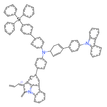 C=C/C=c1\c(=C)n2c3ccccc3c3cc(-c4ccc(N(c5ccc(-c6ccc([Si](c7ccccc7)(c7ccccc7)c7ccccc7)cc6)cc5)C5C=CC(c6ccc(-n7c8ccccc8c8ccccc87)cc6)=CC5)cc4)cc1c32